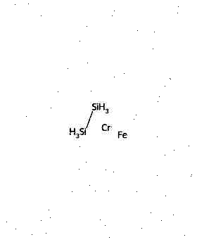 [Cr].[Fe].[SiH3][SiH3]